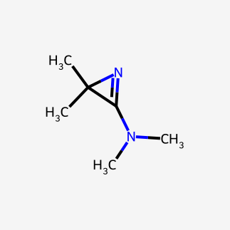 CN(C)C1=NC1(C)C